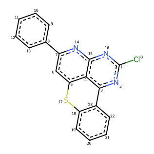 Clc1nc2c3c(cc(-c4ccccc4)nc3n1)Sc1ccccc1-2